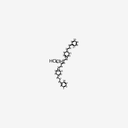 Cl.Cl.c1ccc(CCCC2CCN(CCCCCCN3CCC(CCCc4ccccc4)CC3)CC2)cc1